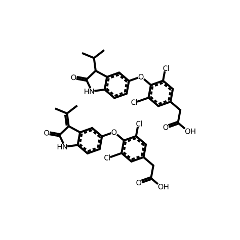 CC(C)=C1C(=O)Nc2ccc(Oc3c(Cl)cc(CC(=O)O)cc3Cl)cc21.CC(C)C1C(=O)Nc2ccc(Oc3c(Cl)cc(CC(=O)O)cc3Cl)cc21